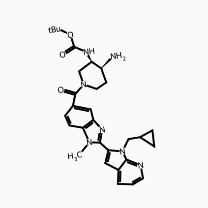 Cn1c(-c2cc3cccnc3n2CC2CC2)nc2cc(C(=O)N3CC[C@H](N)[C@H](NC(=O)OC(C)(C)C)C3)ccc21